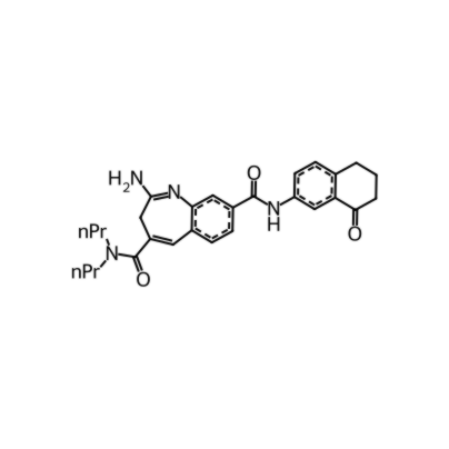 CCCN(CCC)C(=O)C1=Cc2ccc(C(=O)Nc3ccc4c(c3)C(=O)CCC4)cc2N=C(N)C1